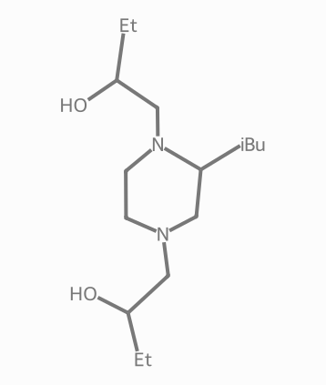 CCC(O)CN1CCN(CC(O)CC)C(C(C)CC)C1